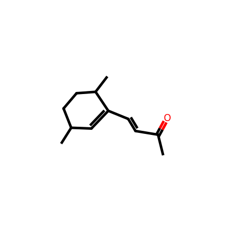 CC(=O)C=CC1=CC(C)CCC1C